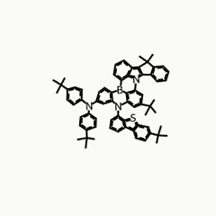 CC(C)(C)c1ccc(N(c2ccc(C(C)(C)C)cc2)c2ccc3c(c2)N(c2cccc4c2sc2cc(C(C)(C)C)ccc24)c2cc(C(C)(C)C)cc4c2B3c2cccc3c5c(n-4c23)-c2ccccc2C5(C)C)cc1